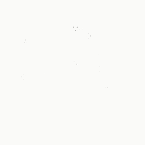 CSc1c(C(C)=O)c(=O)c2c(Cl)ccc(Br)c2n1S(C)(=O)=O